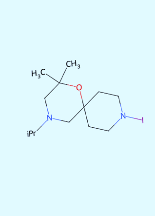 CC(C)N1CC(C)(C)OC2(CCN(I)CC2)C1